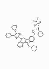 O=C(c1ccc2c(c1)c1cc(-c3nc(-c4ccccc4)c(-c4ccccc4)[nH]3)c3ccccc3c1n2CC1CCCCC1)c1ccccc1OCC(F)(F)C(F)F